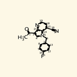 CC(=O)c1cn(Cc2ccc(F)cc2)c2c(C#N)ccnc12